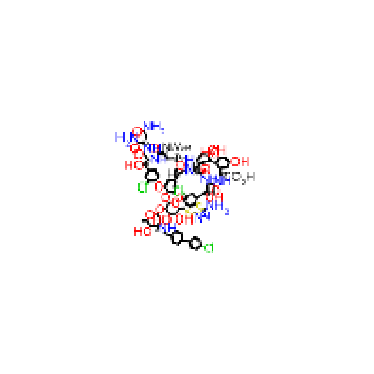 CN[C@@H](CC(C)C)C(=O)N[C@@H](C(=O)N[C@@H](CC(N)=O)C(N)=O)[C@H](O)c1ccc(Oc2cc3cc(c2OC2OC(CSc4nnc(N)s4)C(O)C(O)C2OC2CC(C)(NCc4ccc(-c5ccc(Cl)cc5)cc4)C(O)C(C)O2)Oc2ccc(cc2Cl)[C@@H](O)C2NC(=O)[C@H](NC(=O)[C@@H]3C)c3ccc(O)c(c3)-c3c(O)cc(O)cc3[C@H](C(=O)O)NC2=O)c(Cl)c1